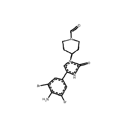 Nc1c(Br)cc(-c2cn(C3CCN(C=O)CC3)c(=O)[nH]2)cc1Br